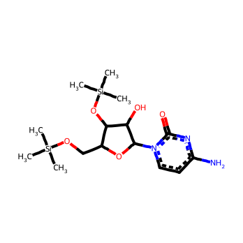 C[Si](C)(C)OCC1OC(n2ccc(N)nc2=O)C(O)C1O[Si](C)(C)C